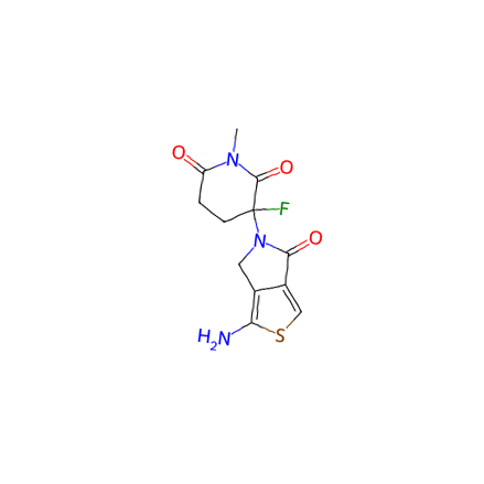 CN1C(=O)CCC(F)(N2Cc3c(csc3N)C2=O)C1=O